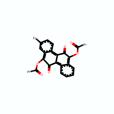 CCc1ccc2c(c1)=C(OC(=O)C(C)C)C(=O)C1=c3ccccc3=C(OC(=O)C(C)C)C(=O)C=21